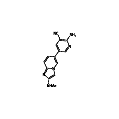 CC(=O)Nc1cn2cc(-c3cnc(N)c(C#N)c3)ccc2n1